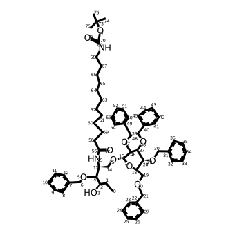 CC[C@@H](O)C(OCc1ccccc1)[C@H](CO[C@H]1OC(COCc2ccccc2)[C@H](OCc2ccccc2)C(OCc2ccccc2)C1OCc1ccccc1)NC(=O)CCCCCCCCCCCNC(=O)OC(C)(C)C